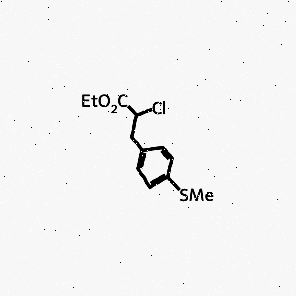 CCOC(=O)C(Cl)Cc1ccc(SC)cc1